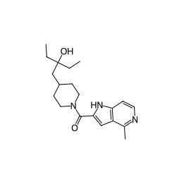 CCC(O)(CC)CC1CCN(C(=O)c2cc3c(C)nccc3[nH]2)CC1